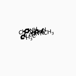 Cc1ncn(-c2ccc(C(=O)Nc3ccc(Cl)c(-c4ccccn4)c3)c(C)n2)n1